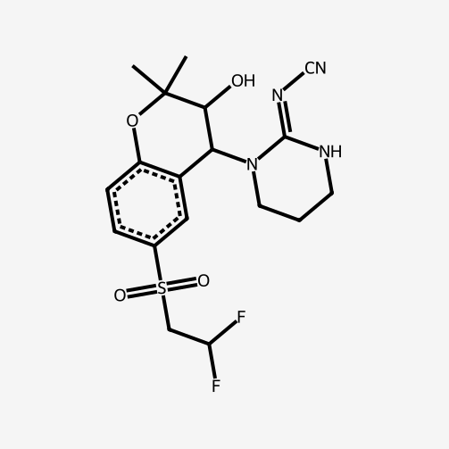 CC1(C)Oc2ccc(S(=O)(=O)CC(F)F)cc2C(N2CCCNC2=NC#N)C1O